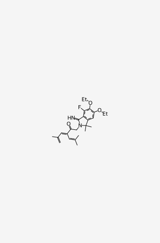 C=C(C)/C=C(\C=C(C)C)C(=O)CN1C(=N)c2c(cc(OCC)c(OCC)c2F)C1(C)C